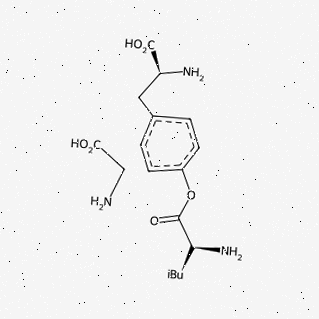 CC[C@H](C)[C@H](N)C(=O)Oc1ccc(C[C@H](N)C(=O)O)cc1.NCC(=O)O